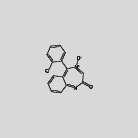 O=c1c[n+]([O-])c(-c2ccccc2Cl)c2ccccc2n1